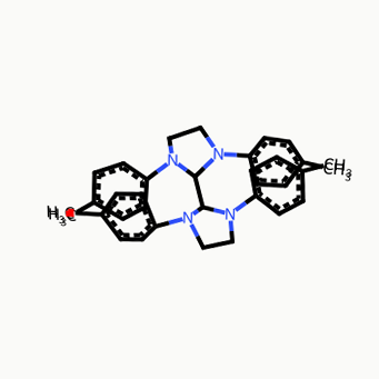 Cc1ccc(N2CCN(c3ccc(C)cc3)C2C2N(c3ccc(C)cc3)CCN2c2ccc(C)cc2)cc1